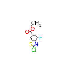 CCOC(=O)c1cc(F)c2nc(Cl)sc2c1